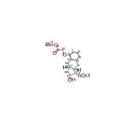 CCCCCCCC[C@@H]1[C@H]2Cc3cccc(OCC(=O)O[C@H](C)CC)c3C[C@H]2C[C@H]1O